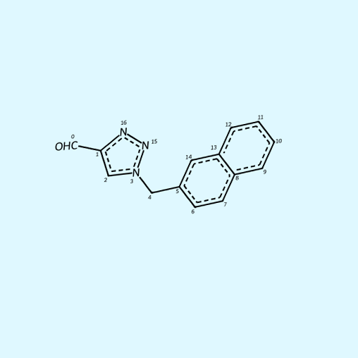 O=Cc1cn(Cc2ccc3ccccc3c2)nn1